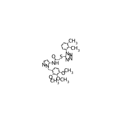 COc1ccc(Cn2nccc2NC(=O)CSc2nnnn2-c2cccc(C)c2C)c(OC)c1OC